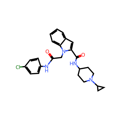 O=C(Cn1c(C(=O)NC2CCN(C3CC3)CC2)cc2ccccc21)Nc1ccc(Cl)cc1